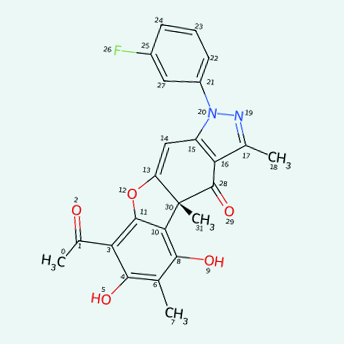 CC(=O)c1c(O)c(C)c(O)c2c1OC1=Cc3c(c(C)nn3-c3cccc(F)c3)C(=O)[C@@]12C